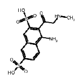 CNCC(=O)c1c(S(=O)(=O)O)cc2cc(S(=O)(=O)O)ccc2c1N